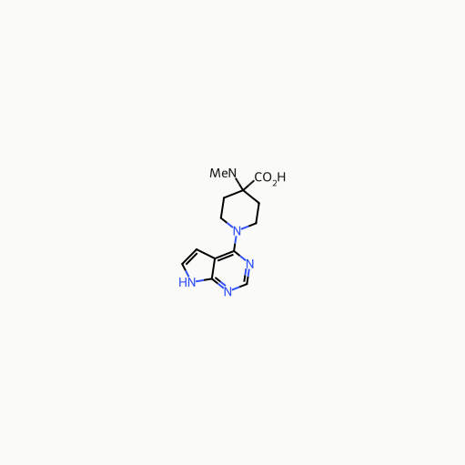 CNC1(C(=O)O)CCN(c2ncnc3[nH]ccc23)CC1